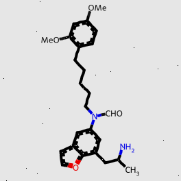 COc1ccc(CCCCCN(C=O)c2cc(CC(C)N)c3occc3c2)c(OC)c1